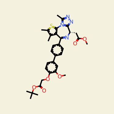 COC(=O)C[C@@H]1N=C(c2ccc(-c3ccc(OCC(=O)OC(C)(C)C)c(OC)c3)cc2)c2c(sc(C)c2C)-n2c(C)nnc21